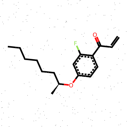 C=CC(=O)c1ccc(O[C@@H](C)CCCCCC)cc1F